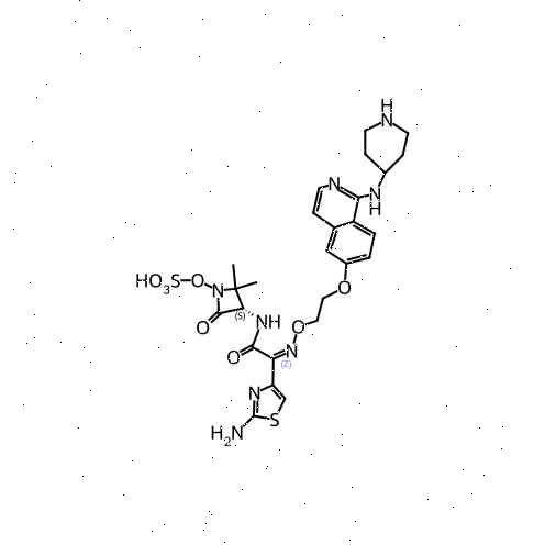 CC1(C)[C@H](NC(=O)/C(=N\OCCOc2ccc3c(NC4CCNCC4)nccc3c2)c2csc(N)n2)C(=O)N1OS(=O)(=O)O